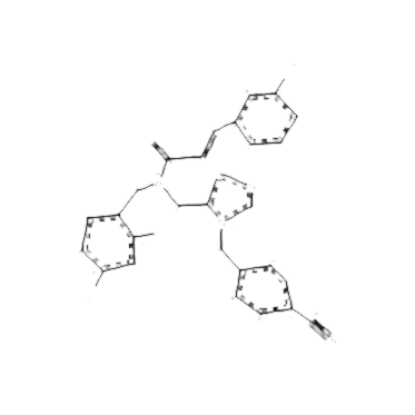 Cc1cccc(/C=C/C(=O)N(Cc2ccc(F)cc2F)Cc2nncn2Cc2ccc(C#N)cc2)c1